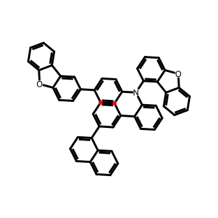 c1cc(-c2ccccc2N(c2ccc(-c3ccc4oc5ccccc5c4c3)cc2)c2cccc3oc4ccccc4c23)cc(-c2cccc3ccccc23)c1